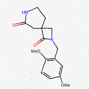 COc1ccc(OC)c(CN2CC3(CCNC(=O)C3)C2=O)c1